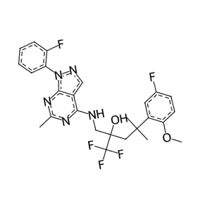 COc1ccc(F)cc1C(C)(C)CC(O)(CNc1nc(C)nc2c1cnn2-c1ccccc1F)C(F)(F)F